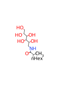 CCCCCCC(C)C(=O)NC[C@H](O)[C@@H](O)[C@H](O)[C@H](O)CO